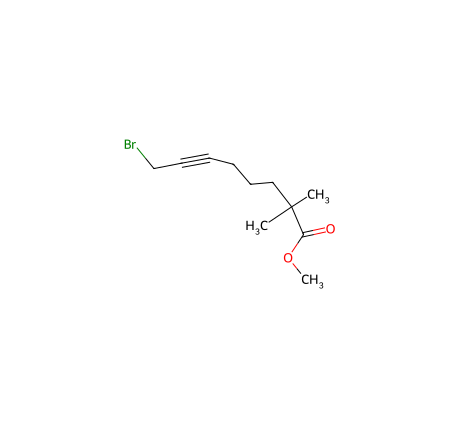 COC(=O)C(C)(C)CCCC#CCBr